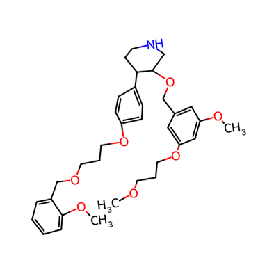 COCCCOc1cc(COC2CNCCC2c2ccc(OCCCOCc3ccccc3OC)cc2)cc(OC)c1